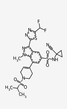 CC(C)S(=O)(=O)N1CC=C(c2cc(S(=O)(=O)NC3(C#N)CC3)cc3c(-c4nnc(C(F)F)s4)nn(C)c23)CC1